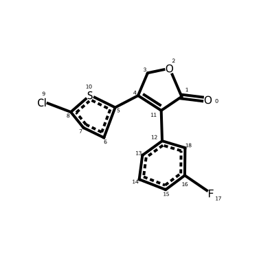 O=C1OCC(c2ccc(Cl)s2)=C1c1cccc(F)c1